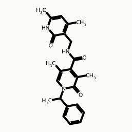 Cc1cc(C)c(CNC(=O)c2c(C)cn(C(C)c3ccccc3)c(=O)c2C)c(=O)[nH]1